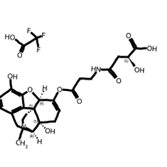 CN1CC[C@]23c4c5ccc(O)c4O[C@H]2C(OC(=O)CCNC(=O)C[C@H](O)C(=O)O)=CC[C@@]3(O)[C@H]1C5.O=C(O)C(F)(F)F